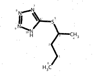 CCC[C](C)Sc1nnn[nH]1